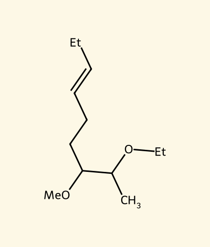 [CH2]CC=CCCC(OC)C(C)OCC